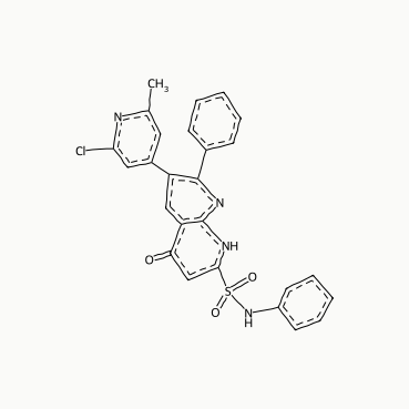 Cc1cc(-c2cc3c(=O)cc(S(=O)(=O)Nc4ccccc4)[nH]c3nc2-c2ccccc2)cc(Cl)n1